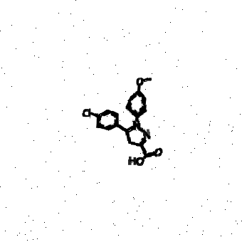 COc1ccc(N2N=C(C(=O)O)CC2c2ccc(Cl)cc2)cc1